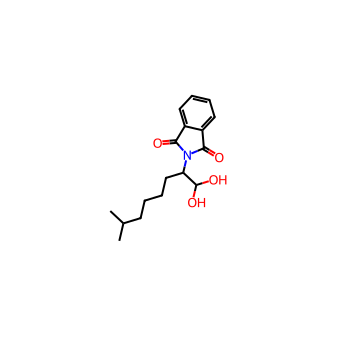 CC(C)CCCCC(C(O)O)N1C(=O)c2ccccc2C1=O